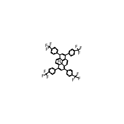 FC(F)(F)c1ccc(C2=CC(c3ccc(C(F)(F)F)cc3)=C3C=CC4=C5C(=CC=C2[C@@H]35)C(c2ccc(C(F)(F)F)cc2)C=C4c2ccc(C(F)(F)F)cc2)cc1